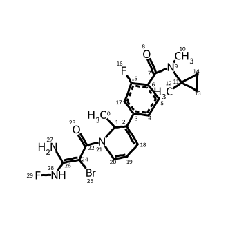 CC1C(c2ccc(C(=O)N(C)C3(C)CC3)c(F)c2)=CC=CN1C(=O)/C(Br)=C(\N)NF